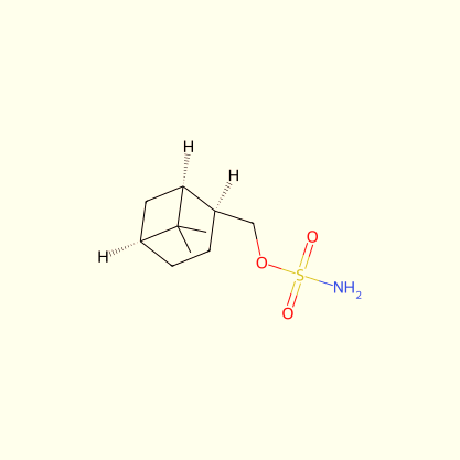 CC1(C)[C@H]2CC[C@H](COS(N)(=O)=O)[C@@H]1C2